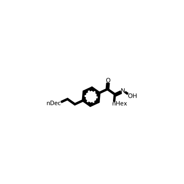 CCCCCCCCCCCCc1ccc(C(=O)/C(CCCCCC)=N/O)cc1